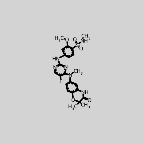 CNS(=O)(=O)c1ccc(Nc2ncc(F)c(N(C)c3ccc4c(c3)NC(=O)C(C)(C)O4)n2)cc1OC